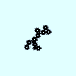 CC1(C)c2ccccc2-c2cc3c4cc(-c5ccc6c(c5)c5ccccc5n6-c5ccc6c7ccccc7c7ccccc7c6c5)ccc4n(-c4cccc(C5C=CC=CC5)c4)c3cc21